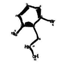 CCCCc1cccc(Br)c1CNO